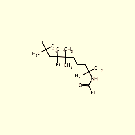 CCC(=O)NC(C)(C)CCCC(C)(C)C(C)(CC)CC(C)(C)I